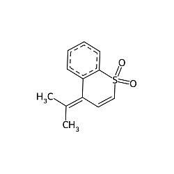 CC(C)=C1C=CS(=O)(=O)c2ccccc21